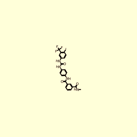 CNC(=O)c1cccc(C(=O)Nc2ccc(NC(=O)Nc3ccc(I)c(C(F)(F)F)c3)cc2)c1